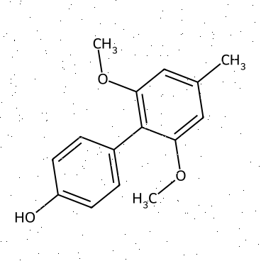 COc1cc(C)cc(OC)c1-c1ccc(O)cc1